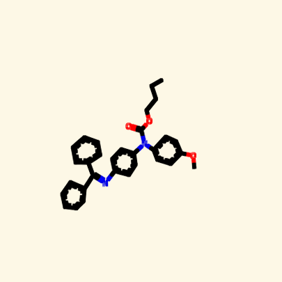 CCCCOC(=O)N(c1ccc(N=C(c2ccccc2)c2ccccc2)cc1)c1ccc(OC)cc1